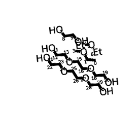 CCOC.CCOCC.OCCO.OCCOCCOCCO.OCCOCCOCCO